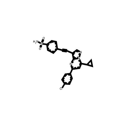 NS(=O)(=O)c1ccc(C#Cc2cnn3c(C4CC4)cc(-c4ccc(Cl)cc4)nc23)cc1